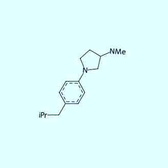 CNC1CCN(c2ccc(CC(C)C)cc2)C1